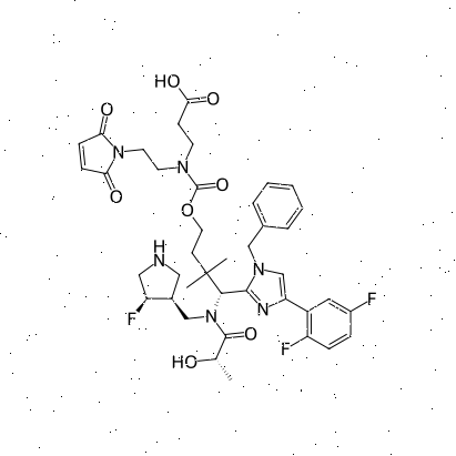 C[C@H](O)C(=O)N(C[C@@H]1CNC[C@@H]1F)[C@@H](c1nc(-c2cc(F)ccc2F)cn1Cc1ccccc1)C(C)(C)CCOC(=O)N(CCC(=O)O)CCN1C(=O)C=CC1=O